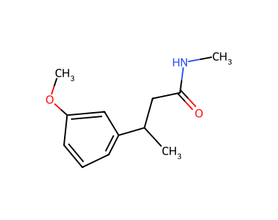 CNC(=O)CC(C)c1cccc(OC)c1